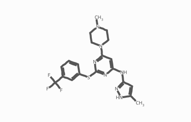 Cc1cc(Nc2cc(N3CCN(C)CC3)nc(Sc3cccc(C(F)(F)F)c3)n2)n[nH]1